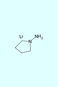 NN1CCCC1.[Li]